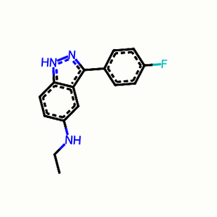 CCNc1ccc2[nH]nc(-c3ccc(F)cc3)c2c1